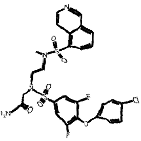 CN(CCN(CC(N)=O)S(=O)(=O)c1cc(F)c(Oc2ccc(Cl)cc2)c(F)c1)S(=O)(=O)c1cccc2cnccc12